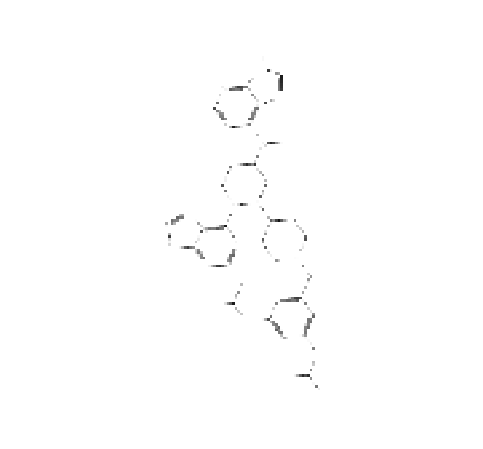 CC(C)Oc1cc(CN2CCC(C3CC(N(N)c4ncnc5[nH]cnc45)CCN3c3ncnc4[nH]cnc34)CC2)cc(OC(C)C)c1